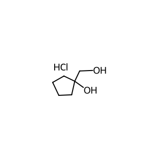 Cl.OCC1(O)CCCC1